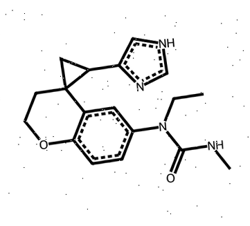 CCN(C(=O)NC)c1ccc2c(c1)C1(CCO2)CC1c1c[nH]cn1